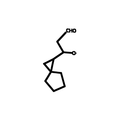 [O]C(CC=O)C1CC12CCCC2